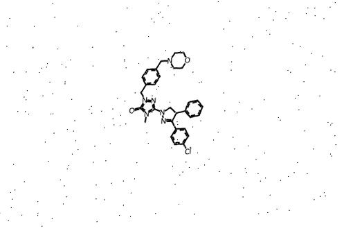 Cn1c(N2CC(c3ccccc3)C(c3ccc(Cl)cc3)=N2)nn(Cc2ccc(CN3CCOCC3)cc2)c1=O